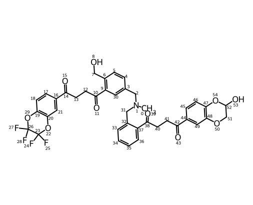 CN(Cc1ccc(CO)c(C(=O)CCC(=O)c2ccc3c(c2)OC(F)(F)C(F)(F)O3)c1)Cc1ccccc1C(=O)CCC(=O)c1ccc2c(c1)OCC(O)O2